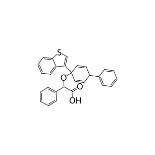 O=C(O)C(OC1(c2csc3ccccc23)C=CC(c2ccccc2)C=C1)c1ccccc1